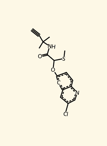 C#CC(C)(C)NC(=O)C(Oc1ccc2ncc(Cl)cc2c1)SC